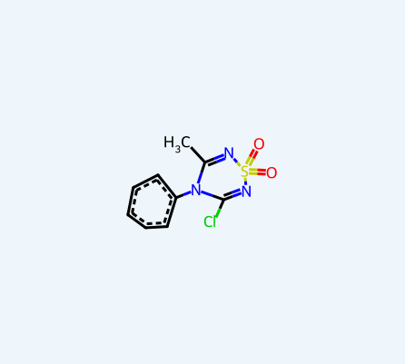 CC1=NS(=O)(=O)N=C(Cl)N1c1ccccc1